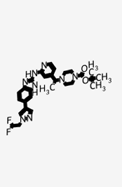 CC(c1ccnc(Nc2nc3ccc(-c4cnn(CC(F)F)c4)cc3[nH]2)c1)N1CCN(C(=O)OC(C)(C)C)CC1